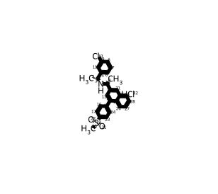 CC(N[C@H](C)c1cccc(Cl)c1)c1cc(-c2ccc(S(C)(=O)=O)cc2)c2ccccc2c1.Cl